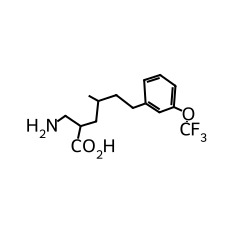 CC(CCc1cccc(OC(F)(F)F)c1)CC(CN)C(=O)O